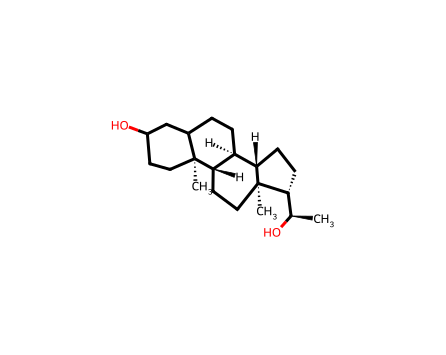 C[C@@H](O)[C@H]1CC[C@H]2[C@@H]3CCC4CC(O)CC[C@]4(C)[C@H]3CC[C@]12C